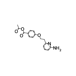 CC(=O)OC(=O)c1ccc(OCCc2cccc(N)n2)cc1